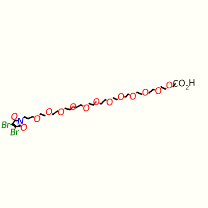 O=C(O)COCCOCCOCCOCCOCCOCCOCCOCCOCCOCCOCCOCCCN1C(=O)C(Br)=C(Br)C1=O